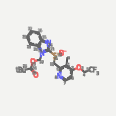 Cc1c(OCC(F)(F)F)ccnc1C[S+]([O-])c1nc2ccccc2n1COC(=O)C(C)(C)C